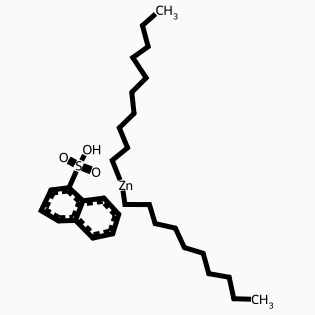 CCCCCCCCC[CH2][Zn][CH2]CCCCCCCCC.O=S(=O)(O)c1cccc2ccccc12